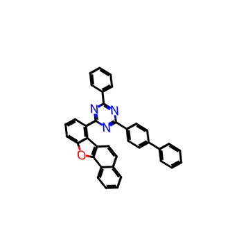 c1ccc(-c2ccc(-c3nc(-c4ccccc4)nc(-c4cccc5oc6c7ccccc7ccc6c45)n3)cc2)cc1